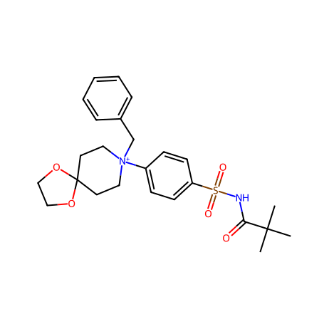 CC(C)(C)C(=O)NS(=O)(=O)c1ccc([N+]2(Cc3ccccc3)CCC3(CC2)OCCO3)cc1